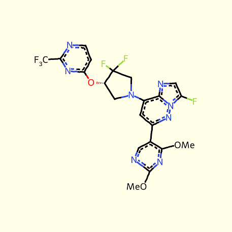 COc1ncc(-c2cc(N3C[C@H](Oc4ccnc(C(F)(F)F)n4)C(F)(F)C3)c3ncc(F)n3n2)c(OC)n1